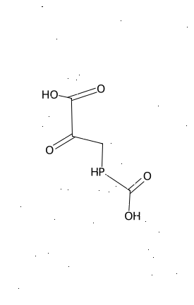 O=C(O)PCC(=O)C(=O)O